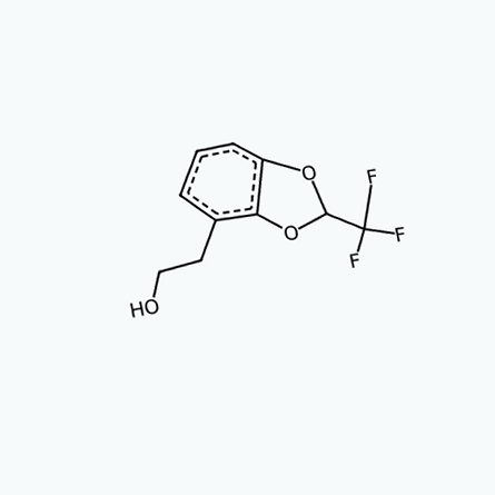 OCCc1cccc2c1OC(C(F)(F)F)O2